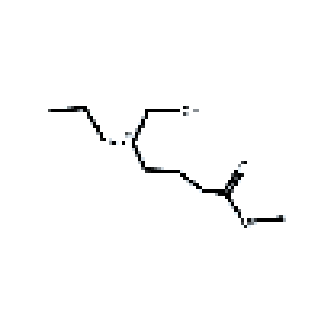 CCC[C@H](CO)CCCC(=O)OC